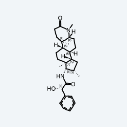 C[C@H]1C[C@H]2[C@@H]3CC[C@H]4N(C)C(=O)CC[C@]4(C)[C@H]3CC[C@]2(C)[C@H]1NC(=O)[C@@H](O)c1ccccc1